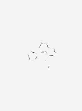 C=CCc1cccc2ccccc12.Cl.c1ccncc1